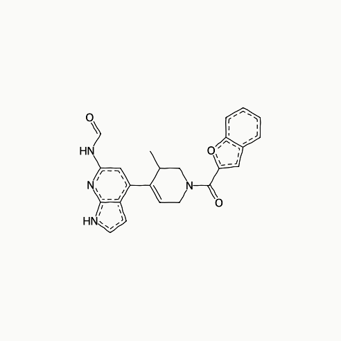 CC1CN(C(=O)c2cc3ccccc3o2)CC=C1c1cc(NC=O)nc2[nH]ccc12